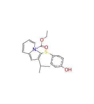 CCOC(=O)[N+]12C=CC=CC1=CC(C(C)C)=C2Sc1ccc(O)cc1